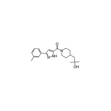 Cc1cccc(-c2cc(C(=O)N3CCC(CC(C)(C)O)CC3)[nH]n2)c1